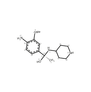 COc1cc([C@](C)(O)NC2CCNCC2)ccc1N